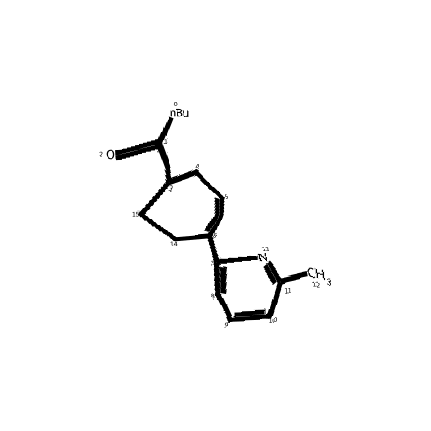 CCCCC(=O)C1CC=C(c2cccc(C)n2)CC1